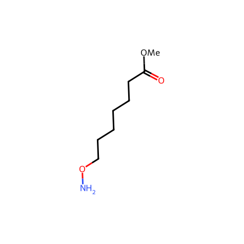 COC(=O)CCCCCCON